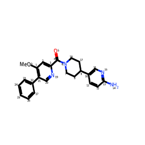 COc1cc(C(=O)N2CCC(c3ccc(N)nc3)CC2)ncc1-c1ccccc1